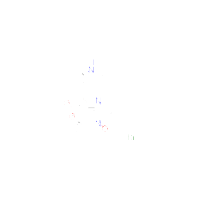 BrCCC1CC(c2csc(C3CCNCC3)n2)=NO1.CC(C)(C)OC=O